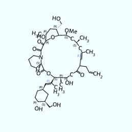 C=CCC1/C=C(\C)C[C@H](C)C[C@H](OC)C2O[C@@](O)(C(=O)C(=O)N3CCCC[C@H]3C(=O)O[C@H](/C(C)=C/[C@@H]3CC[C@@H](O)[C@H](CO)C3)[C@H](C)[C@@H](O)CC1=O)[C@H](C)C[C@@H]2CO